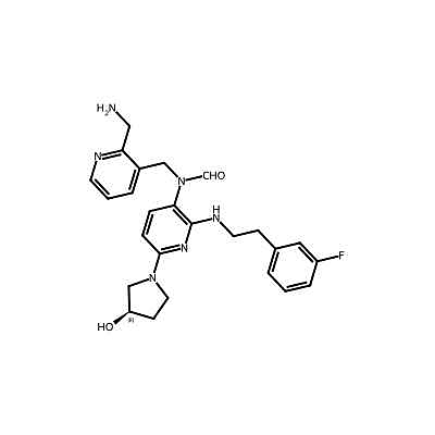 NCc1ncccc1CN(C=O)c1ccc(N2CC[C@@H](O)C2)nc1NCCc1cccc(F)c1